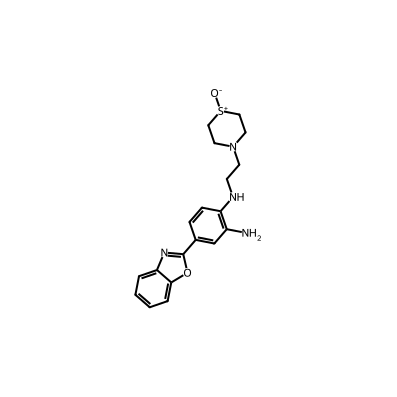 Nc1cc(-c2nc3ccccc3o2)ccc1NCCN1CC[S+]([O-])CC1